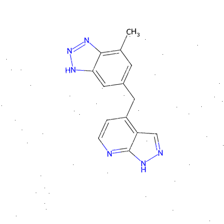 Cc1cc(Cc2ccnc3[nH]ncc23)cc2[nH]nnc12